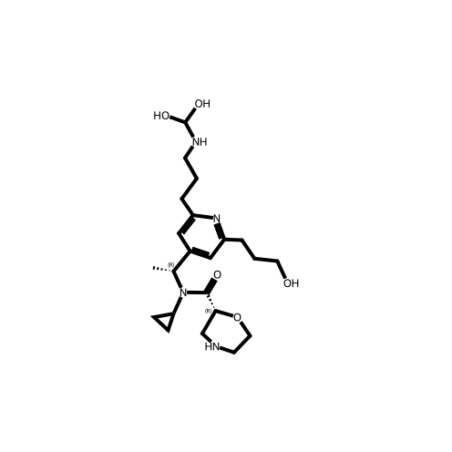 C[C@H](c1cc(CCCO)nc(CCCNC(O)O)c1)N(C(=O)[C@H]1CNCCO1)C1CC1